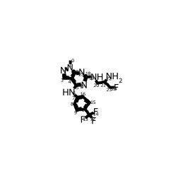 Cn1ncc2c(Nc3ccc(C(F)(F)F)cc3)nc(NCC(N)CF)nc21